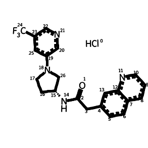 Cl.O=C(Cc1ccc2cccnc2c1)N[C@@H]1CCN(c2cncc(C(F)(F)F)c2)C1